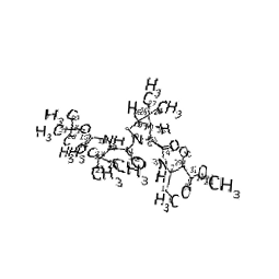 CCC(NC(=O)[C@@H]1[C@@H]2[C@H](CN1C(=O)[C@@H](NC(=O)OC(C)(C)C)C(C)(C)C)C2(C)C)C(=O)C(=O)OC